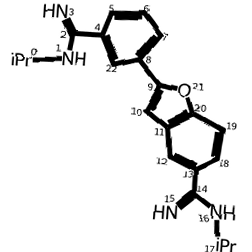 CC(C)NC(=N)c1cccc(-c2cc3cc(C(=N)NC(C)C)ccc3o2)c1